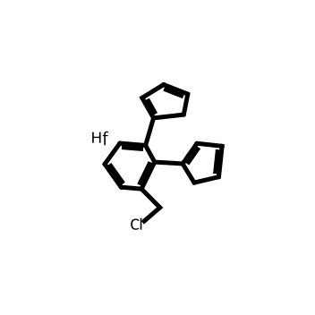 ClCc1cccc(C2=CC=CC2)c1C1=CC=CC1.[Hf]